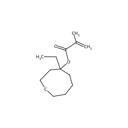 C=C(C)C(=O)OC1(CC)CCCCCCC1